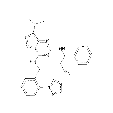 CC(C)c1cnn2c(NCc3ccccc3-n3cccn3)nc(NC(CN)c3ccccc3)nc12